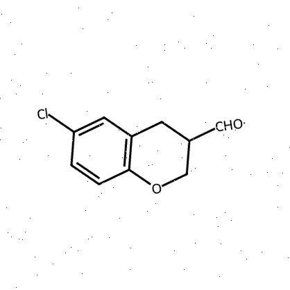 O=[C]C1COc2ccc(Cl)cc2C1